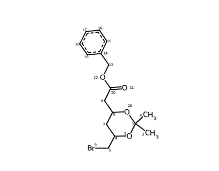 CC1(C)OC(CBr)CC(CC(=O)OCc2ccccc2)O1